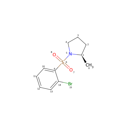 C[C@@H]1CCCN1S(=O)(=O)c1ccccc1Br